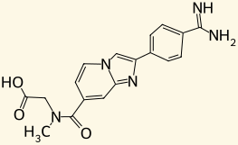 CN(CC(=O)O)C(=O)c1ccn2cc(-c3ccc(C(=N)N)cc3)nc2c1